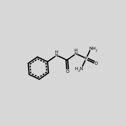 NP(N)(=O)NC(=O)Nc1ccccc1